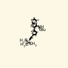 CC(C)(C)Nc1c(-c2ccc(C#C[Si](C)(C)C)s2)nc2sccn12